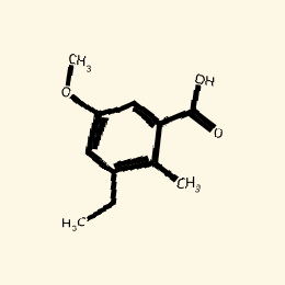 CCc1cc(OC)cc(C(=O)O)c1C